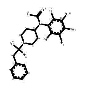 [2H]c1c([2H])c([2H])c(N(C(=O)CC)C2CCN(C([2H])([2H])Cc3ccccc3)CC2)c([2H])c1[2H]